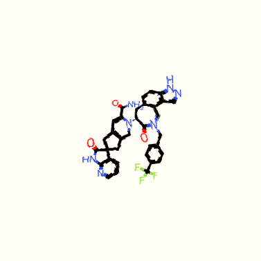 NC(=O)C1=CC2=C(CN1[C@@H]1Cc3ccc4[nH]ncc4c3CN(Cc3ccc(C(F)(F)F)cc3)C1=O)CC1(C2)C(=O)Nc2ncccc21